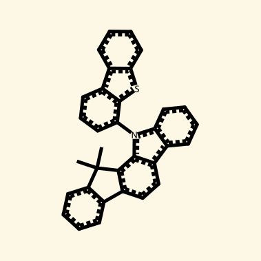 CC1(C)c2ccccc2-c2ccc3c4ccccc4n(-c4cccc5c4sc4ccccc45)c3c21